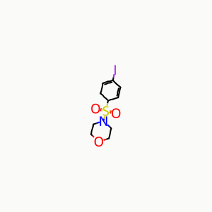 O=S(=O)(C1C=CC(I)=CC1)N1CCOCC1